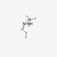 CC/C=N\NN(C)C